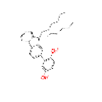 CCCCCCC1(CCCCCC)c2ccccc2-c2ccc(-c3cc(O)ccc3O)cc21